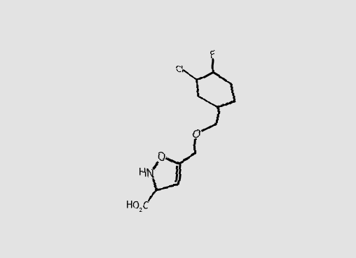 O=C(O)C1C=C(COCC2CCC(F)C(Cl)C2)ON1